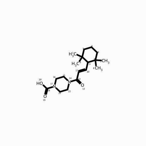 CC1(C)CCCC(C)(C)C1C=CC(=O)N1CCN(C(=O)O)CC1